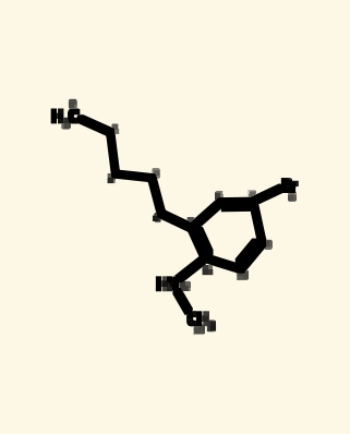 CCCCCc1cc(Br)ccc1NC